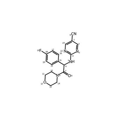 N#Cc1cnc(NC(C(=O)N2CCOCC2)c2ccc(F)cc2)nc1